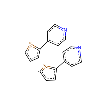 [c]1ccc(-c2ccncc2)s1.[c]1ccc(-c2ccncc2)s1